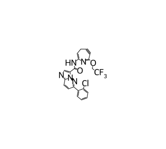 O=C(NC1=CCC#CC(OCC(F)(F)F)=N1)c1cnc2ccc(-c3ccccc3Cl)nn12